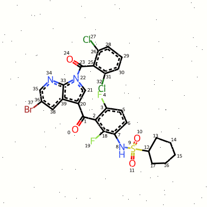 O=C(c1c(F)ccc(NS(=O)(=O)C2CCCCC2)c1F)c1cn(C(=O)c2c(Cl)cccc2Cl)c2ncc(Br)cc12